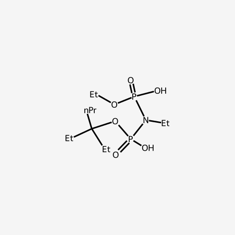 CCCC(CC)(CC)OP(=O)(O)N(CC)P(=O)(O)OCC